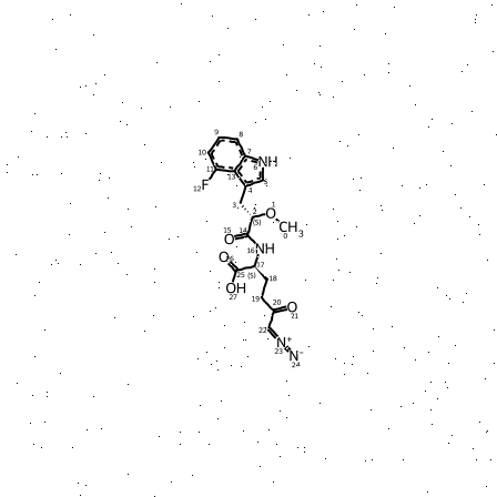 CO[C@@H](Cc1c[nH]c2cccc(F)c12)C(=O)N[C@@H](CCC(=O)C=[N+]=[N-])C(=O)O